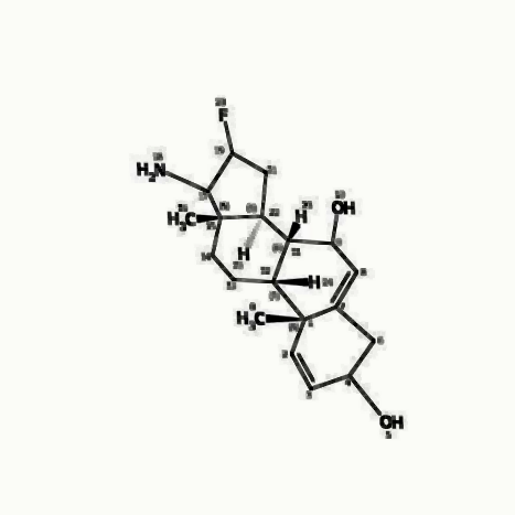 C[C@]12C=CC(O)CC1=CC(O)[C@@H]1[C@H]2CC[C@]2(C)C(N)C(F)C[C@@H]12